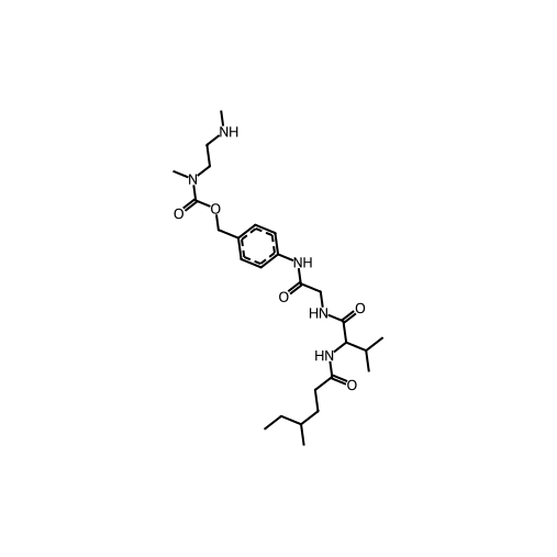 CCC(C)CCC(=O)NC(C(=O)NCC(=O)Nc1ccc(COC(=O)N(C)CCNC)cc1)C(C)C